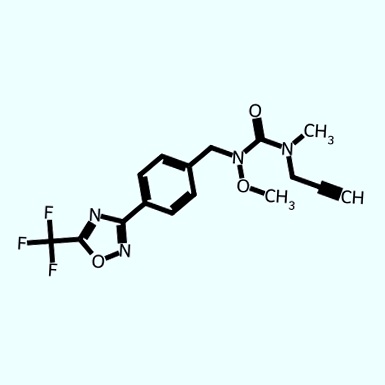 C#CCN(C)C(=O)N(Cc1ccc(-c2noc(C(F)(F)F)n2)cc1)OC